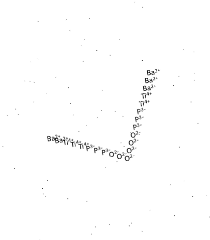 [Ba+2].[Ba+2].[Ba+2].[Ba+2].[Ba+2].[O-2].[O-2].[O-2].[O-2].[O-2].[O-2].[P-3].[P-3].[P-3].[P-3].[P-3].[P-3].[Ti+4].[Ti+4].[Ti+4].[Ti+4].[Ti+4]